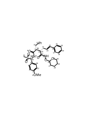 COc1ccc(N(NC(=O)[C@H](CC(C)C)[C@H](CC=Cc2ccccc2)C(=O)NOC2CCCCO2)S(C)(=O)=O)cc1